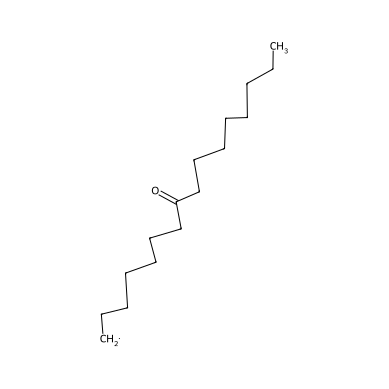 [CH2]CCCCCCC(=O)CCCCCCCC